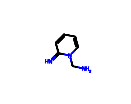 N=c1ccccn1CN